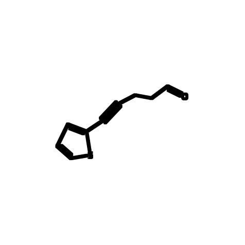 O=CCCC#Cc1cccs1